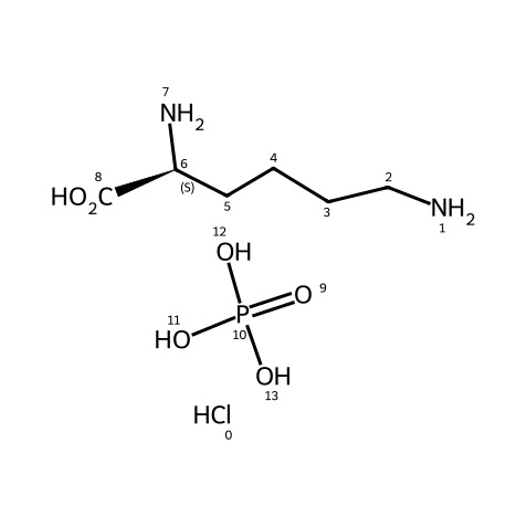 Cl.NCCCC[C@H](N)C(=O)O.O=P(O)(O)O